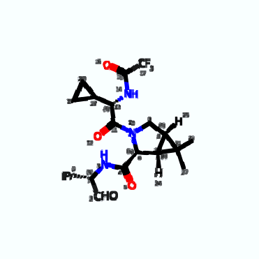 CC(C)[C@@H](C=O)NC(=O)[C@@H]1[C@@H]2[C@H](CN1C(=O)[C@@H](NC(=O)C(F)(F)F)C1CC1)C2(C)C